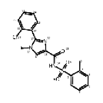 Cc1ccccc1S(=O)(=O)NC(=O)c1cn(C)c(-c2ccccc2Cl)n1